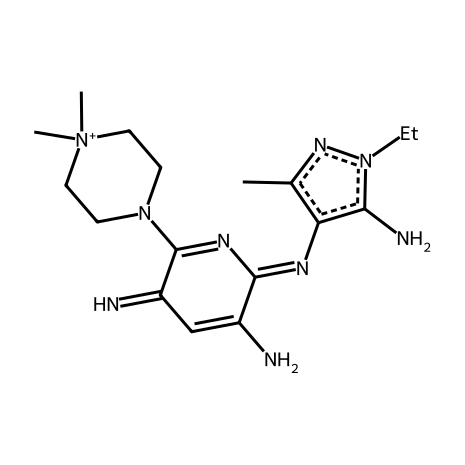 CCn1nc(C)c(/N=C2\N=C(N3CC[N+](C)(C)CC3)C(=N)C=C2N)c1N